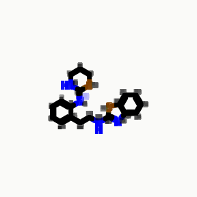 c1ccc(/N=C2\NCCCS2)c(CCNc2nc3ccccc3s2)c1